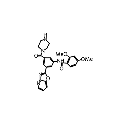 COc1ccc(C(=O)Nc2cc(C(=O)N3CCNCC3)cc(-c3nc4ncccc4o3)c2)c(OC)c1